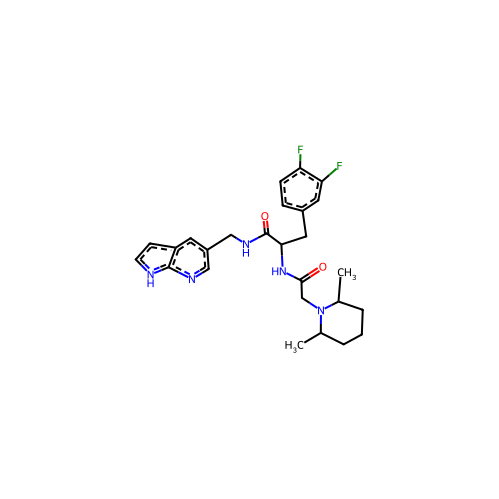 CC1CCCC(C)N1CC(=O)NC(Cc1ccc(F)c(F)c1)C(=O)NCc1cnc2[nH]ccc2c1